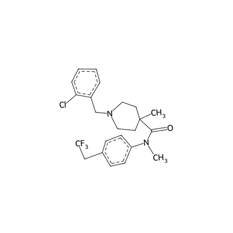 CN(C(=O)C1(C)CCN(Cc2ccccc2Cl)CC1)c1ccc(CC(F)(F)F)cc1